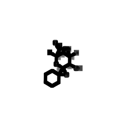 O=C1O[C@H]2[C@H](O)[C@@H]1O[C@]1(OC13CCCCC3)[C@@H]2O